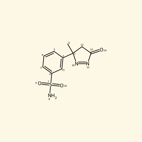 CC1(c2cccc(S(N)(=O)=O)c2)CC(=O)N=N1